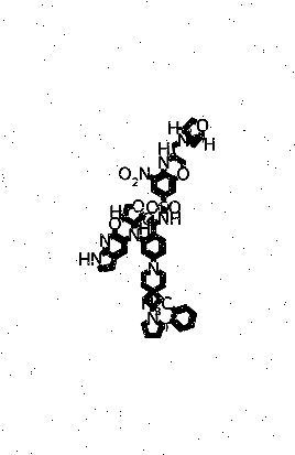 Cc1ccccc1[C@@H]1CCCN1C1CC2(CCN(c3ccc(C(=O)NS(=O)(=O)c4cc5c(c([N+](=O)[O-])c4)N[C@@H](CN4C[C@@H]6C[C@H]4CO6)CO5)c(N4c5cc6cc[nH]c6nc5O[C@@H]5COC[C@H]54)c3)CC2)C1